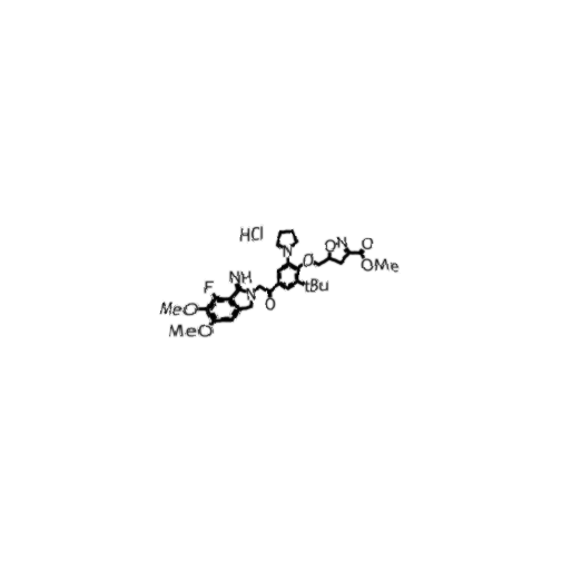 COC(=O)C1=NOC(COc2c(N3CCCC3)cc(C(=O)CN3Cc4cc(OC)c(OC)c(F)c4C3=N)cc2C(C)(C)C)C1.Cl